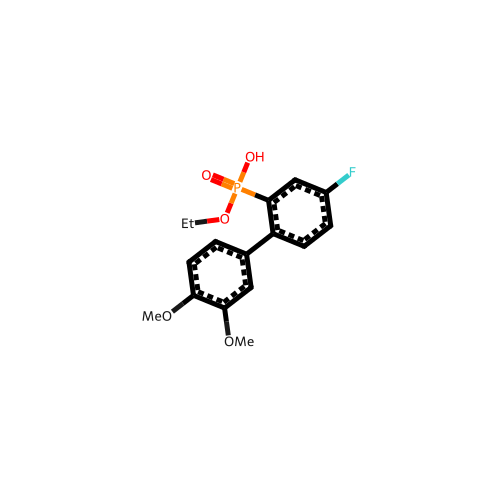 CCOP(=O)(O)c1cc(F)ccc1-c1ccc(OC)c(OC)c1